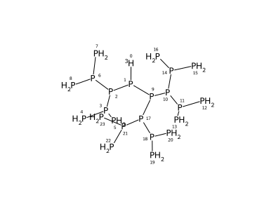 [3H]P(P(P(P)P)P(P)P)P(P(P(P)P)P(P)P)P(P(P)P)P(P)P